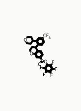 O=S(Oc1c(F)c(F)c(F)c(F)c1F)c1ccc2c(c1)OCCC2c1ccc(C(F)(F)F)cc1C1CCOCC1